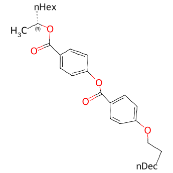 CCCCCCCCCCCCOc1ccc(C(=O)Oc2ccc(C(=O)O[C@H](C)CCCCCC)cc2)cc1